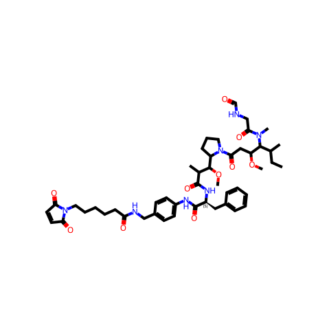 CCC(C)C(C(CC(=O)N1CCCC1C(OC)C(C)C(=O)N[C@@H](Cc1ccccc1)C(=O)Nc1ccc(CNC(=O)CCCCCN2C(=O)C=CC2=O)cc1)OC)N(C)C(=O)CNC=O